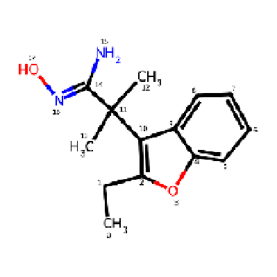 CCc1oc2ccccc2c1C(C)(C)C(N)=NO